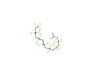 CC(C)CC(F)(F)CC(F)(F)CC(F)(F)CC(F)(F)CC(F)(F)CC(F)(F)CC(F)(F)F